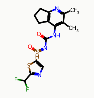 Cc1c(C(F)(F)F)nc2c(c1NC(=O)/N=[SH](=O)/c1cnc(C(F)F)s1)CCC2